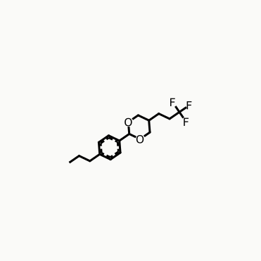 CCCc1ccc(C2OCC(CCC(F)(F)F)CO2)cc1